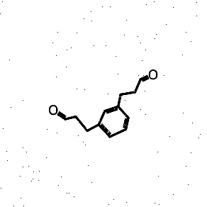 O=CCCc1cccc(CCC=O)c1